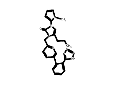 CCCc1cn(-c2cccn2C)c(=O)n1Cc1ccc(-c2ccccc2-c2nnn[nH]2)cn1